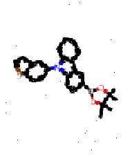 CC1(C)OB(c2ccc3c(c2)c2ccccc2n3-c2ccc3sccc3c2)OC1(C)C